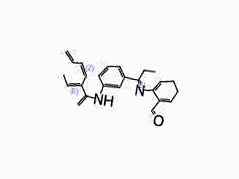 C=C/C=C\C(=C/C)C(=C)Nc1cccc(/C(CC)=N/C2=CCCC=C2C=O)c1